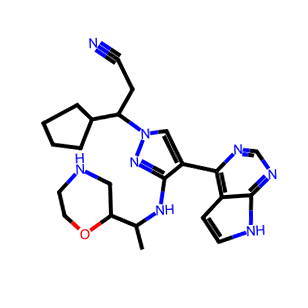 CC(Nc1nn(C(CC#N)C2CCCC2)cc1-c1ncnc2[nH]ccc12)C1CNCCO1